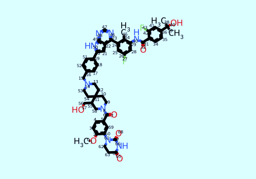 COc1ccc(C(=O)N2CCC3(CCN(Cc4ccc(-c5cc6c(-c7cc(F)cc(NC(=O)c8ccc(C(C)(C)O)cc8F)c7C)ncnc6[nH]5)cc4)CC3)C(CO)C2)cc1N1CCC(=O)NC1=O